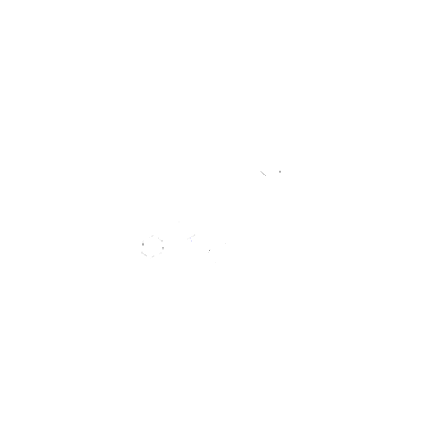 O=C(O)CCCCCCC1C2CCC(C2)C1/C=C/C(O)c1ccccc1